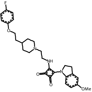 COc1ccc2c(c1)CCN2c1c(NCCN2CCC(CCOc3ccc(F)cc3)CC2)c(=O)c1=O